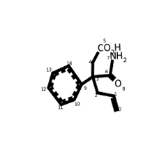 C=CCC(CC(=O)O)(C(N)=O)c1ccccc1